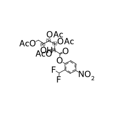 CC(=O)OC[C@@H](O)[C@H](OC(C)=O)[C@H](OC(C)=O)[C@@H](OC(C)=O)C(=O)Oc1ccc([N+](=O)[O-])cc1C(F)F